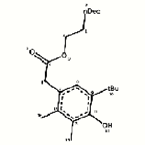 CCCCCCCCCCCCOC(=O)Cc1cc(C(C)(C)C)c(O)c(C)c1C